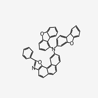 c1ccc(-c2nc3ccc4ccc5ccc(N(c6ccc7c(c6)oc6ccccc67)c6cccc7oc8ccccc8c67)cc5c4c3o2)cc1